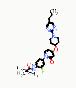 CCCc1cnc(N2CCC(Oc3ccn(-c4ccc(NC(=O)C(C)(C)C)c(F)c4)c(=O)c3)CC2)nc1